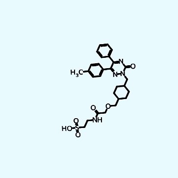 Cc1ccc(-c2nn(CC3CCC(COCC(=O)NCCS(=O)(=O)O)CC3)c(=O)nc2-c2ccccc2)cc1